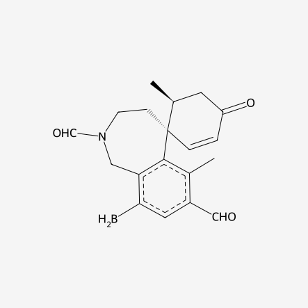 Bc1cc(C=O)c(C)c2c1CN(C=O)CC[C@]21C=CC(=O)C[C@@H]1C